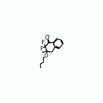 CCCCOC1(C)Cc2ccccc2C(=O)C1(F)F